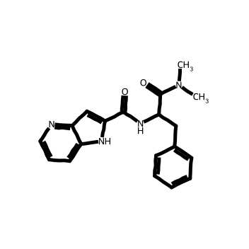 CN(C)C(=O)C(Cc1ccccc1)NC(=O)c1cc2ncccc2[nH]1